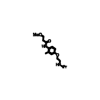 COCCC(=O)Nc1ccc(OCCNC(C)C)cc1C